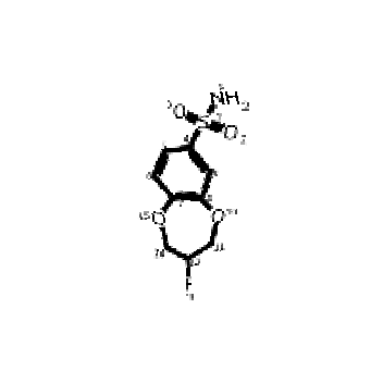 NS(=O)(=O)c1ccc2c(c1)OCC(F)CO2